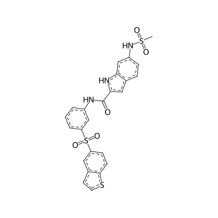 CS(=O)(=O)Nc1ccc2cc(C(=O)Nc3cccc(S(=O)(=O)c4ccc5sccc5c4)c3)[nH]c2c1